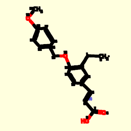 [CH2]Cc1cc(/C=C/C(=O)O)ccc1OCc1ccc(OC)cc1